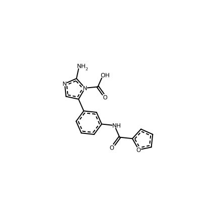 Nc1ncc(-c2cccc(NC(=O)c3ccco3)c2)n1C(=O)O